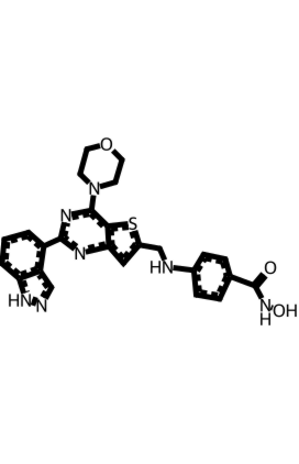 O=C(NO)c1ccc(NCc2cc3nc(-c4cccc5[nH]ncc45)nc(N4CCOCC4)c3s2)cc1